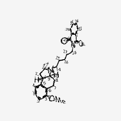 COc1cccc2c1CC[C@@H]1[C@H]2CCN1CCCCCN1C(=O)c2ccccc2C1=O